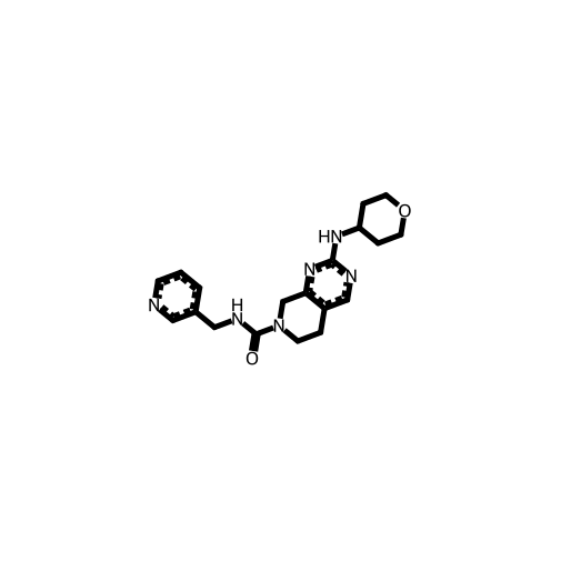 O=C(NCc1cccnc1)N1CCc2cnc(NC3CCOCC3)nc2C1